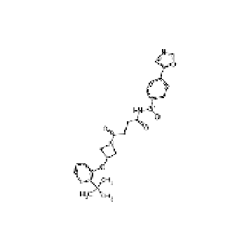 CC(C)(C)c1ccccc1OC1CN(C(=O)CCC(=O)N[S+]([O-])c2ccc(-c3cnco3)cc2)C1